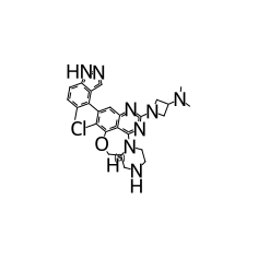 Cc1ccc2[nH]ncc2c1-c1cc2nc(N3CC(N(C)C)C3)nc3c2c(c1Cl)OC[C@@H]1CNCCN31